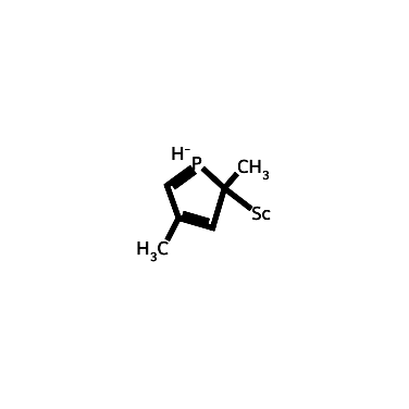 CC1=C[C](C)([Sc])P=C1.[H-]